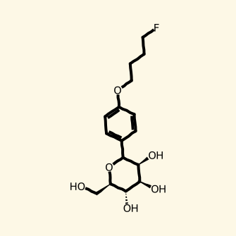 OC[C@H]1OC(c2ccc(OCCCCF)cc2)[C@@H](O)[C@@H](O)[C@@H]1O